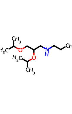 CCCNCC(COC(C)C)OC(C)C